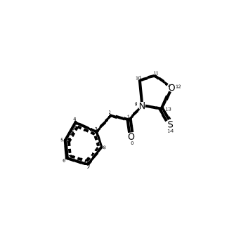 O=C(Cc1ccccc1)N1CCOC1=S